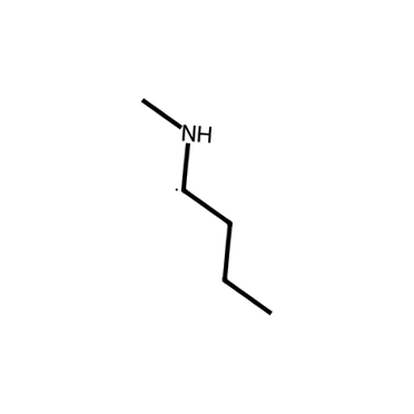 CCC[CH]NC